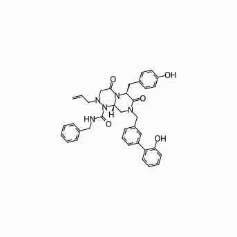 C=CCN1CC(=O)N2[C@@H](Cc3ccc(O)cc3)C(=O)N(Cc3cccc(-c4ccccc4O)c3)C[C@@H]2N1C(=O)NCc1ccccc1